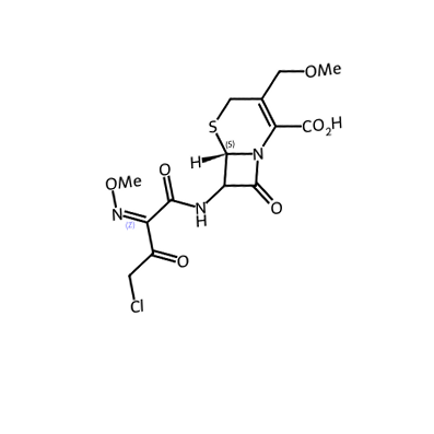 COCC1=C(C(=O)O)N2C(=O)C(NC(=O)/C(=N\OC)C(=O)CCl)[C@@H]2SC1